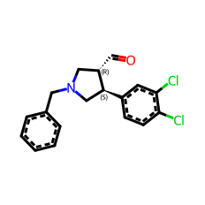 O=C[C@H]1CN(Cc2ccccc2)C[C@@H]1c1ccc(Cl)c(Cl)c1